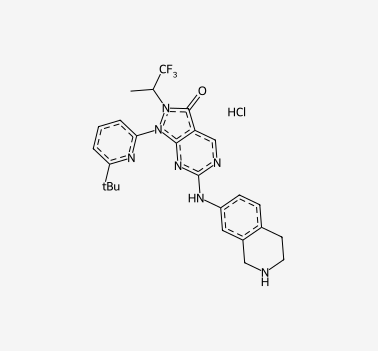 CC(n1c(=O)c2cnc(Nc3ccc4c(c3)CNCC4)nc2n1-c1cccc(C(C)(C)C)n1)C(F)(F)F.Cl